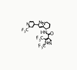 O=C(N[C@H]1CCCn2nc(-c3ccnc(C(F)(F)F)c3)cc21)c1cnn(C(F)(F)F)c1C(F)(F)F